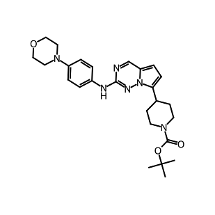 CC(C)(C)OC(=O)N1CCC(c2ccc3cnc(Nc4ccc(N5CCOCC5)cc4)nn23)CC1